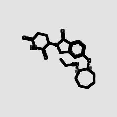 CCN[C@H]1CCCCC[C@H]1Oc1ccc2c(c1)CN(C1CCC(=O)NC1=O)C2=O